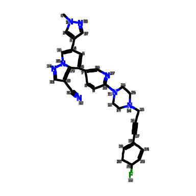 Cn1cc(-c2cc(-c3ccc(N4CCN(CC#CC5=CCC(F)C=C5)CC4)nc3)c3c(C#N)cnn3c2)cn1